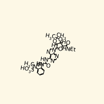 CCNC(=O)[C@H]1O[C@@H](n2cnc3c(NC(=O)Nc4ccccc4[N+](C)(C(C)C)S(=O)(=O)O)ncnc32)[C@@H]2OC(C)(C)O[C@@H]21